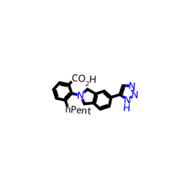 CCCCCc1cccc(C(=O)O)c1N1Cc2ccc(-c3cnn[nH]3)cc2C1